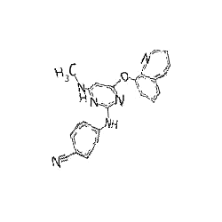 CNc1cc(Oc2cccc3cccnc23)nc(Nc2ccc(C#N)cc2)n1